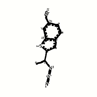 CC(N=[N+]=[N-])c1cc2ccc(Br)cc2s1